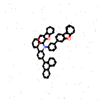 c1ccc(-c2ccc(-c3cc4ccccc4c4ccccc34)cc2N(c2cccc(-c3ccc4c(c3)oc3ccccc34)c2)c2cccc3c2oc2ccccc23)cc1